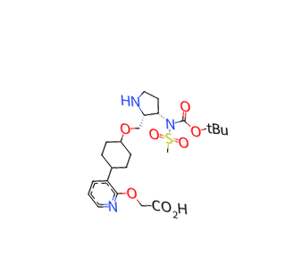 CC(C)(C)OC(=O)N([C@H]1CCN[C@H]1COC1CCC(c2cccnc2OCC(=O)O)CC1)S(C)(=O)=O